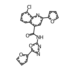 O=C(Nc1nnc(-c2ccco2)o1)c1cc(-c2ccco2)nc2c(Cl)cccc12